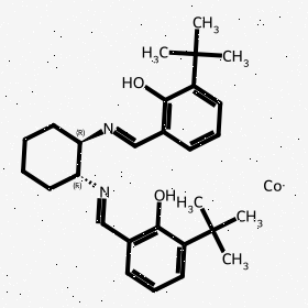 CC(C)(C)c1cccc(C=N[C@@H]2CCCC[C@H]2N=Cc2cccc(C(C)(C)C)c2O)c1O.[Co]